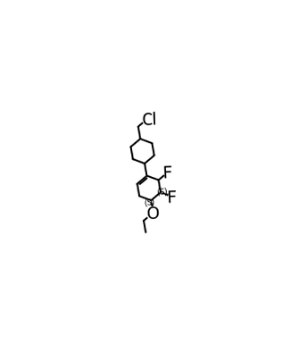 CCO[C@H]1CC=C(C2CCC(CCl)CC2)C(F)[C@H]1F